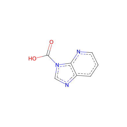 O=C(O)n1cnc2cccnc21